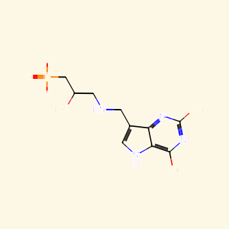 O=P(O)(O)CC(O)CNCc1c[nH]c2c(O)nc(O)nc12